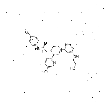 COc1ccc(C2CN(c3cc(NCCO)ccn3)CCC2NC(=O)Nc2ccc(Cl)cc2)nc1